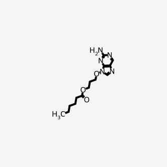 CCCCCC(=O)OCCCOn1cnc2cnc(N)nc21